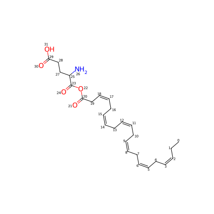 CC/C=C\C/C=C\C/C=C\C/C=C\C/C=C\C/C=C\CC(=O)OC(=O)C(N)CCC(=O)O